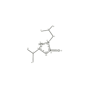 CC(C)Cn1[nH]c(C(C)C)cc1=O